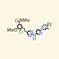 CCN1C(C)=CN(c2ccc(Nc3ncc(CCc4cc(C(=O)NC)cc(OC)c4Cl)cn3)cn2)C[C@@H]1C